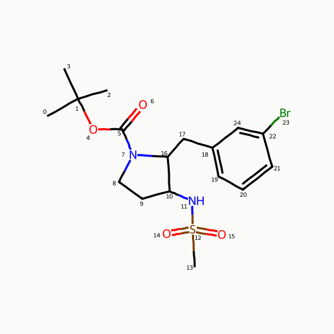 CC(C)(C)OC(=O)N1CCC(NS(C)(=O)=O)C1Cc1cccc(Br)c1